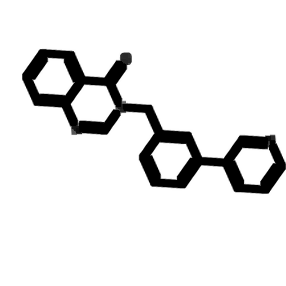 O=c1c2ccccc2ncn1Cc1cccc(-c2cccnc2)c1